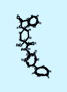 O=C1O[C@]2(CC[C@@](O)(C(=O)Nc3ncc(-c4ccccc4)cn3)CC2)c2ccccc21